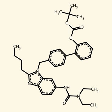 CCCCc1nc2ccc(NC(=O)N(CC)CC)cc2n1Cc1ccc(-c2ccccc2OC(=O)OC(C)(C)C)cc1